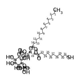 CCCCCCCCCCCCCCCC(=O)O[C@H](COC(=O)CCCCCCCCCS)COP(=O)(O)OC1C(O)[C@H](OP(=O)(O)O)C(O)[C@H](O)[C@@H]1O